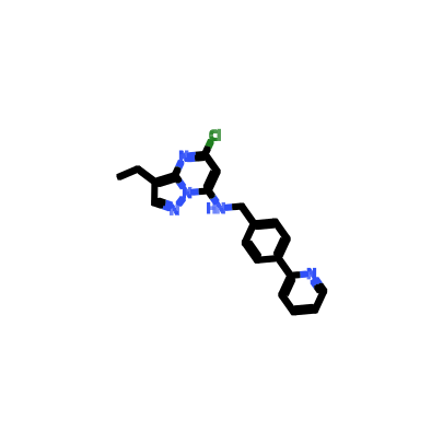 CCc1cnn2c(NCc3ccc(-c4ccccn4)cc3)cc(Cl)nc12